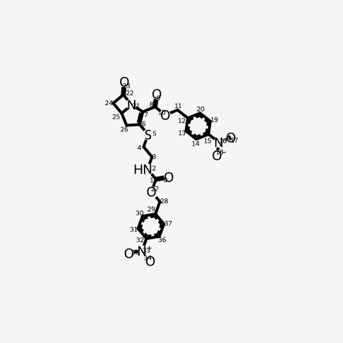 O=C(NCCSC1=C(C(=O)OCc2ccc([N+](=O)[O-])cc2)N2C(=O)CC2C1)OCc1ccc([N+](=O)[O-])cc1